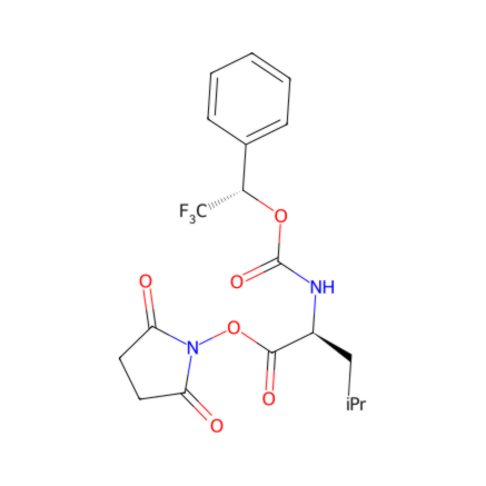 CC(C)C[C@H](NC(=O)O[C@@H](c1ccccc1)C(F)(F)F)C(=O)ON1C(=O)CCC1=O